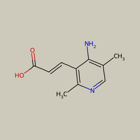 Cc1cnc(C)c(/C=C/C(=O)O)c1N